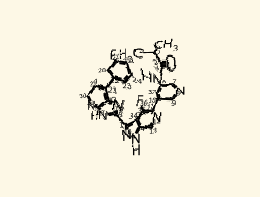 CC(C)C(=O)Nc1cncc(-c2ncc3[nH]nc(-c4nc5c(-c6cccc(F)c6)ccnc5[nH]4)c3c2F)c1